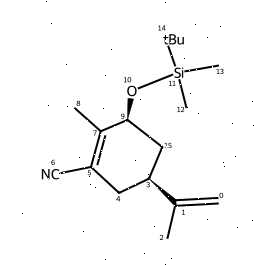 C=C(C)[C@H]1CC(C#N)=C(C)[C@@H](O[Si](C)(C)C(C)(C)C)C1